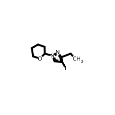 CCc1nn(C2CCCCO2)cc1I